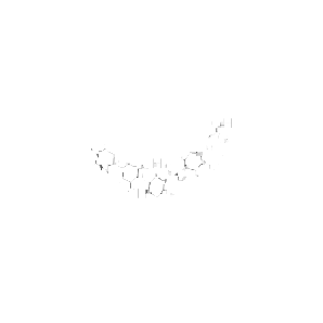 Cc1cc(-c2ccncn2)cc(C)c1-c1ccc(F)c2c1CC[C@H]2Oc1ccc2c(c1)OC[C@H]2CC(=O)O